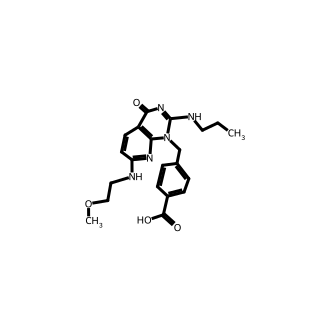 CCCNc1nc(=O)c2ccc(NCCOC)nc2n1Cc1ccc(C(=O)O)cc1